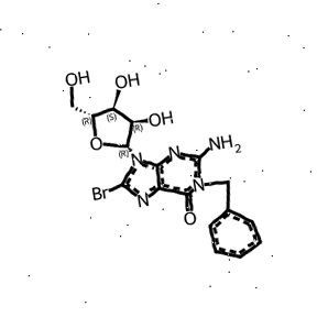 Nc1nc2c(nc(Br)n2[C@@H]2O[C@H](CO)[C@@H](O)[C@H]2O)c(=O)n1Cc1ccccc1